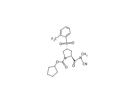 CN(C#N)C(=O)[C@@H]1C[C@@H](S(=O)(=O)c2ccccc2C(F)(F)F)CN1C(=O)OC1CCCC1